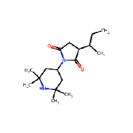 CCC(C)C1CC(=O)N(C2CC(C)(C)NC(C)(C)C2)C1=O